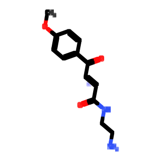 COc1ccc(C(=O)/C=C/C(=O)NCCN)cc1